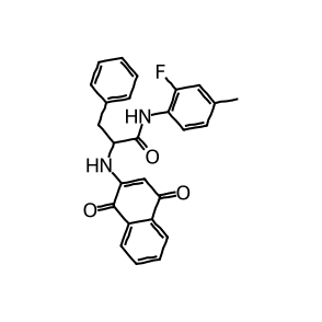 Cc1ccc(NC(=O)C(Cc2ccccc2)NC2=CC(=O)c3ccccc3C2=O)c(F)c1